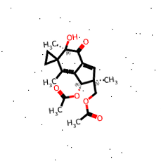 CC(=O)OC[C@]1(C)C=C2C(=O)[C@](C)(O)C3(CC3)C(C)=C2[C@H]1OC(C)=O